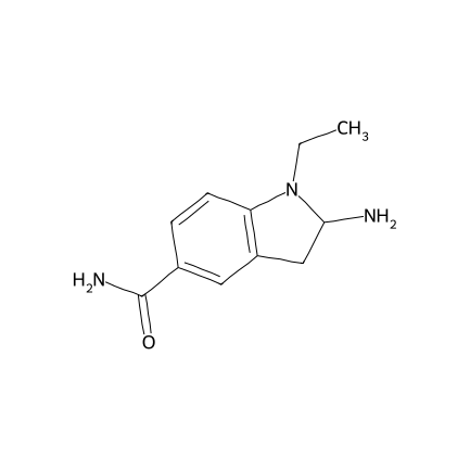 CCN1c2ccc(C(N)=O)cc2CC1N